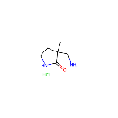 CC1(CN)CCNC1=O.Cl